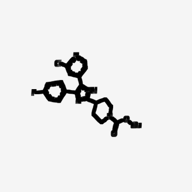 CC(C)(C)OC(=O)N1CCC(c2nc(-c3ccc(F)cc3)c(-c3ccnc(Cl)c3)[nH]2)CC1